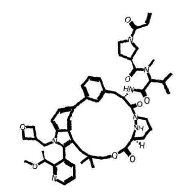 C=CC(=O)N1CC[C@H](C(=O)N(C)C(C(=O)N[C@H]2Cc3cccc(c3)-c3ccc4c(c3)c(c(-c3cccnc3[C@H](C)OC)n4CC3COC3)CC(C)(C)COC(=O)[C@@H]3CCCN(N3)C2=O)C(C)C)C1